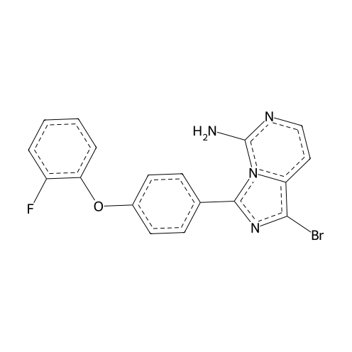 Nc1nccc2c(Br)nc(-c3ccc(Oc4ccccc4F)cc3)n12